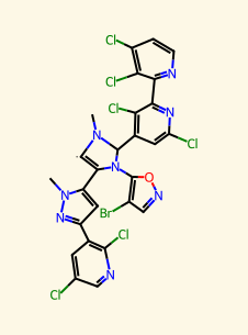 CN1[C]=C(c2cc(-c3cc(Cl)cnc3Cl)nn2C)N(c2oncc2Br)C1c1cc(Cl)nc(-c2nccc(Cl)c2Cl)c1Cl